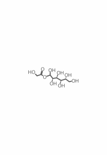 O=C(CO)OC(O)[C@H](O)[C@@H](O)[C@H](O)[C@H](O)CO